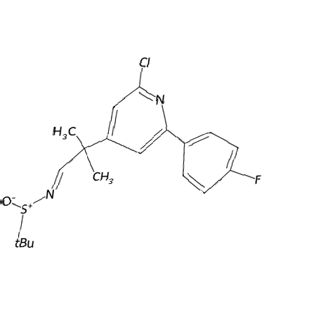 CC(C)(C=N[S+]([O-])C(C)(C)C)c1cc(Cl)nc(-c2ccc(F)cc2)c1